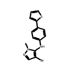 Cn1ncc(Br)c1Nc1ccc(-c2cccs2)cc1